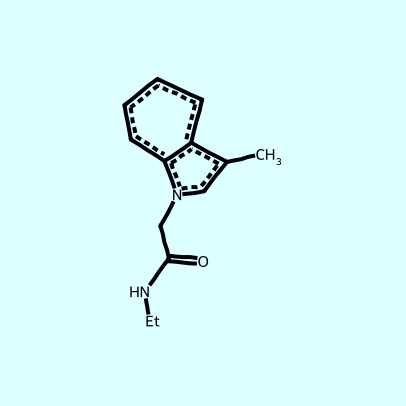 CCNC(=O)Cn1cc(C)c2ccccc21